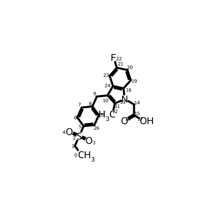 CCS(=O)(=O)c1ccc(Cc2c(C)n(CC(=O)O)c3ccc(F)cc23)cc1